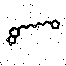 C(=Cc1ccc2c(c1)COO2)COCCCN1CCCC1